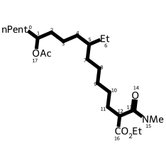 CCCCCC(CCCC(CC)CCCCCC(C(=O)NC)C(=O)OCC)OC(C)=O